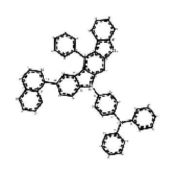 c1ccc(-c2c3c(cc4c2c2cc(-c5cccc6ccccc56)ccc2n4-c2ccc(N(c4ccccc4)c4ccccc4)cc2)oc2ccccc23)cc1